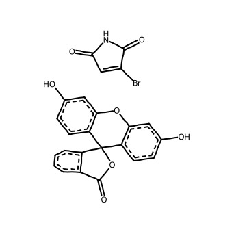 O=C1C=C(Br)C(=O)N1.O=C1OC2(c3ccc(O)cc3Oc3cc(O)ccc32)c2ccccc21